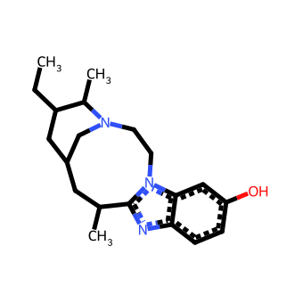 CCC1CC2CC(C)c3nc4ccc(O)cc4n3CCN(C2)C1C